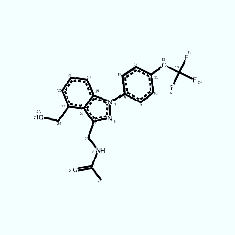 CC(=O)NCc1nn(-c2ccc(OC(F)(F)F)cc2)c2cccc(CO)c12